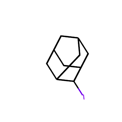 IC1C2CC3CC(C2)CC1C3